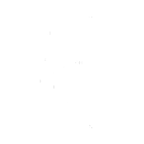 COc1ccc(C(C)C(O)(c2cc(C)c(C#N)c(C)c2)C(F)(F)F)c(Cl)c1